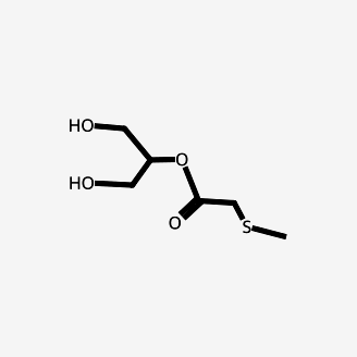 CSCC(=O)OC(CO)CO